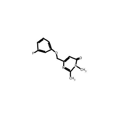 Cc1nc(COc2cccc(F)c2)cc(=O)n1C